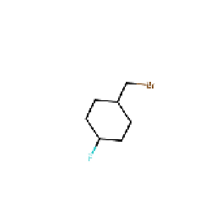 FC1CCC(CBr)CC1